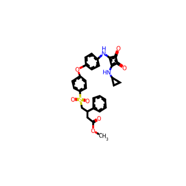 COC(=O)CC(CS(=O)(=O)c1ccc(Oc2ccc(Nc3c(NC4CC4)c(=O)c3=O)cc2)cc1)c1ccccc1